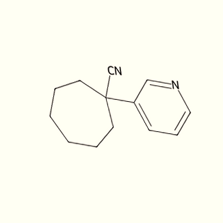 N#CC1(c2cccnc2)CCCCCC1